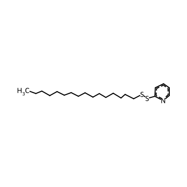 CCCCCCCCCCCCCCCCSSc1ccccn1